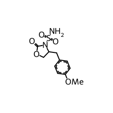 COc1ccc(CC2COC(=O)N2S(N)(=O)=O)cc1